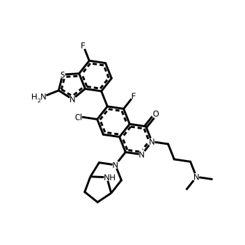 CN(C)CCCn1nc(N2CC3CCC(C2)N3)c2cc(Cl)c(-c3ccc(F)c4sc(N)nc34)c(F)c2c1=O